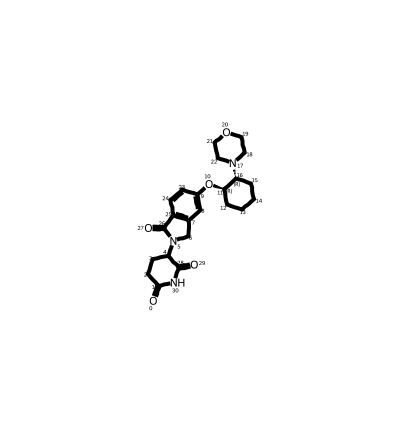 O=C1CCC(N2Cc3cc(O[C@@H]4CCCC[C@H]4N4CCOCC4)ccc3C2=O)C(=O)N1